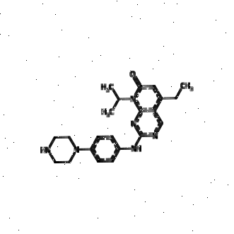 CCc1cc(=O)n(C(C)C)c2nc(Nc3ccc(N4CCNCC4)cc3)ncc12